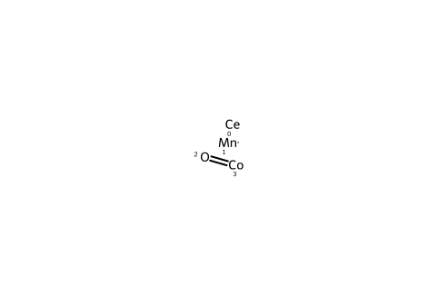 [Ce].[Mn].[O]=[Co]